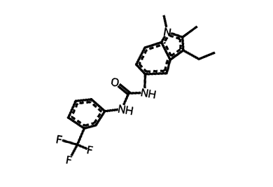 CCc1c(C)n(C)c2ccc(NC(=O)Nc3cccc(C(F)(F)F)c3)cc12